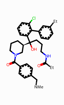 CCC(=O)NCCCC(O)(c1cccc(Cl)c1-c1cccc(CC)c1)[C@@H]1CCCN(C(=O)c2ccc(CNC)cc2)C1